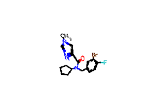 Cn1cnc(C(=O)N(Cc2ccc(F)c(Br)c2)C2CCCC2)c1